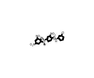 O=[N+]([O-])c1cc([N+](=O)[O-])c2nn(-c3ccc(NNc4cccc(Cl)c4)c([N+](=O)[O-])c3)[n+]([O-])c2c1